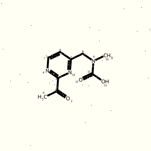 CC(=O)c1nccc(CN(C)C(=O)O)n1